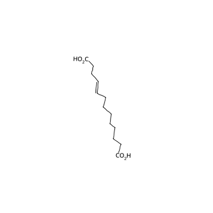 O=C(O)CC/C=C/CCCCCCCC(=O)O